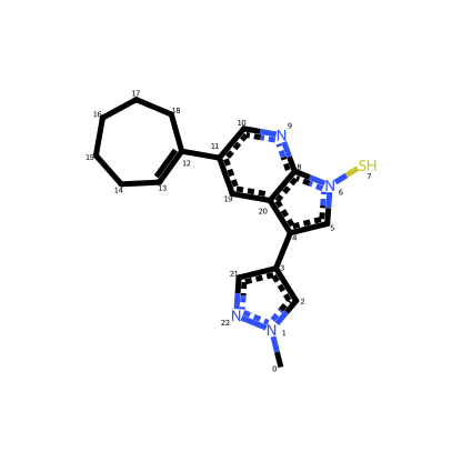 Cn1cc(-c2cn(S)c3ncc(C4=CCCCCC4)cc23)cn1